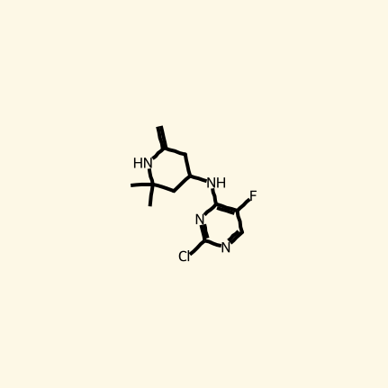 C=C1CC(Nc2nc(Cl)ncc2F)CC(C)(C)N1